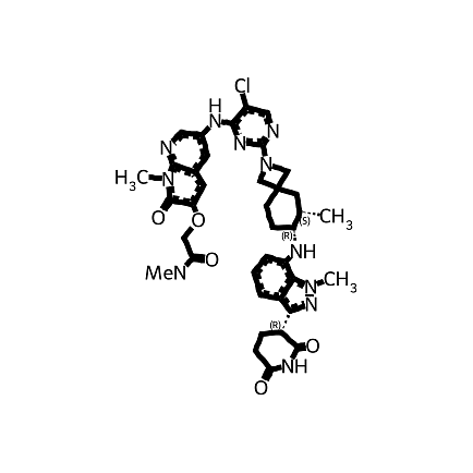 CNC(=O)COc1cc2cc(Nc3nc(N4CC5(CC[C@@H](Nc6cccc7c([C@H]8CCC(=O)NC8=O)nn(C)c67)[C@@H](C)C5)C4)ncc3Cl)cnc2n(C)c1=O